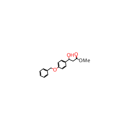 COC(=O)CC(O)c1ccc(OCc2ccccc2)cc1